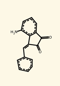 Nc1cccc2c1C(=Cc1ccccc1)C(=O)C2=O